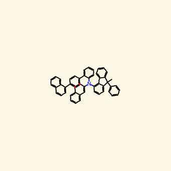 CC1(c2ccccc2)c2ccccc2-c2c(N(c3ccc4ccccc4c3)c3ccccc3-c3ccc(-c4cccc5ccccc45)cc3)cccc21